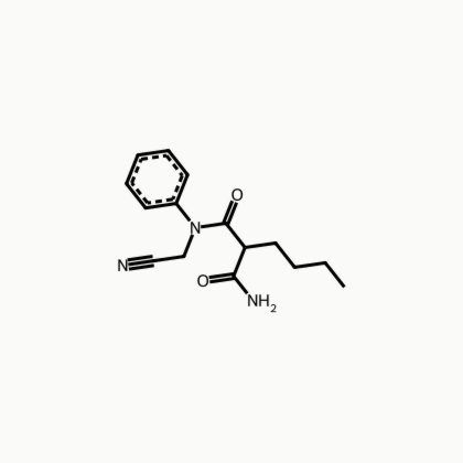 CCCCC(C(N)=O)C(=O)N(CC#N)c1ccccc1